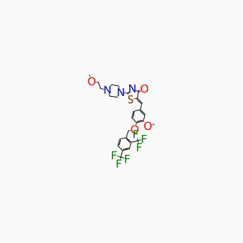 COCCN1CCN(C2=NC(=O)/C(=C/c3ccc(OCc4ccc(C(F)(F)F)cc4C(F)(F)F)c(OC)c3)S2)CC1